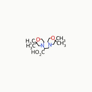 CC1(C)CN(CC(C(=O)O)N2CCOC(C)(C)C2)CCO1